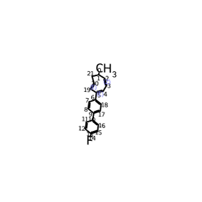 CC1\C=C/C=C(c2ccc(-c3ccc(F)cc3)cc2)\C=C\C1